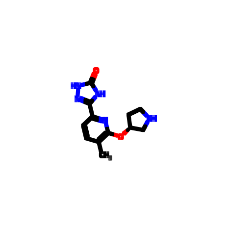 Cc1ccc(-c2n[nH]c(=O)[nH]2)nc1O[C@H]1CCNC1